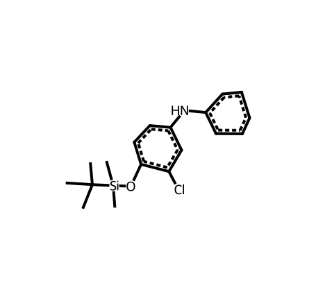 CC(C)(C)[Si](C)(C)Oc1ccc(Nc2ccccc2)cc1Cl